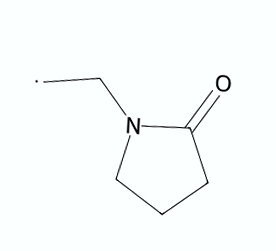 [CH2]CN1CCCC1=O